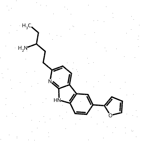 CCC(N)CCc1ccc2c(n1)[nH]c1ccc(-c3ccco3)cc12